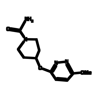 COc1ccc(OC2CCN(C(N)=O)CC2)nn1